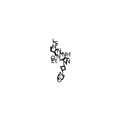 CCOc1nc(Nc2cnn(C3CC(N4CCOCC4)C3)c2C)nc2c1ccn2SI